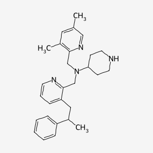 Cc1cnc(CN(Cc2ncccc2CC(C)c2ccccc2)C2CCNCC2)c(C)c1